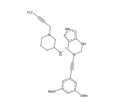 CC#CCN1CCCC(N[C@@H]2c3c[nH]cc3NCN2C#Cc2cc(OC)cc(OC)c2)C1